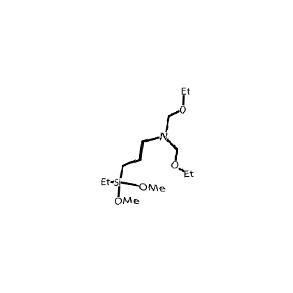 CCOCN(CCC[Si](CC)(OC)OC)COCC